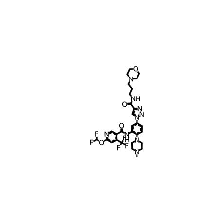 CN1CCN(c2ccc(-n3cc(C(=O)NCCCN4CCOCC4)nn3)cc2NC(=O)c2cnc(OC(F)F)cc2C(F)(F)F)CC1